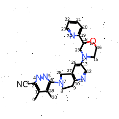 Cc1c(C#N)nnc(N2CCc3ncc(N4CCOC(c5ccccn5)C4)cc3C2)c1C